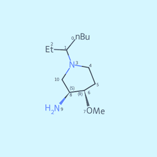 CCCCC(CC)N1CC[C@@H](OC)[C@@H](N)C1